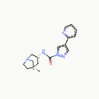 O=C(N[C@@H]1C[C@H]2CCN(C2)C1)n1cc(-c2ccccn2)cn1